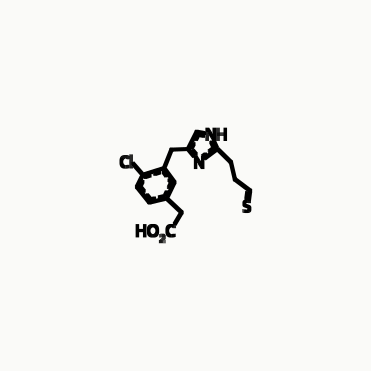 O=C(O)Cc1ccc(Cl)c(Cc2c[nH]c(CCC=S)n2)c1